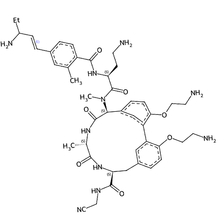 CCC(N)/C=C/c1ccc(C(=O)N[C@@H](CCN)C(=O)N(C)[C@@H]2C(=O)N[C@@H](C)C(=O)N[C@H](C(=O)NCC#N)Cc3ccc(OCCN)c(c3)-c3cc2ccc3OCCN)c(C)c1